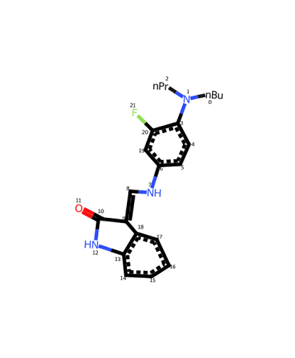 CCCCN(CCC)c1ccc(N/C=C2/C(=O)Nc3ccccc32)cc1F